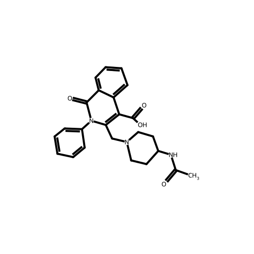 CC(=O)NC1CCN(Cc2c(C(=O)O)c3ccccc3c(=O)n2-c2ccccc2)CC1